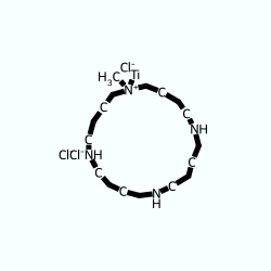 C[N+]1([Ti])CCCCNCCCCNCCCCNCCCC1.[Cl-].[Cl-].[Cl-]